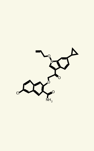 C=CCOn1cc(C(=O)COc2cc3ccc(Cl)cc3cc2C(N)=O)c2ccc(C3CC3)cc21